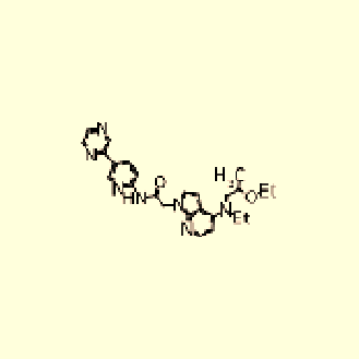 CCOC(C)CN(CC)c1ccnc2c1ccn2CC(=O)Nc1ccc(-c2cnccn2)cn1